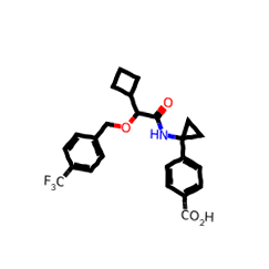 O=C(O)c1ccc(C2(NC(=O)C(OCc3ccc(C(F)(F)F)cc3)C3CCC3)CC2)cc1